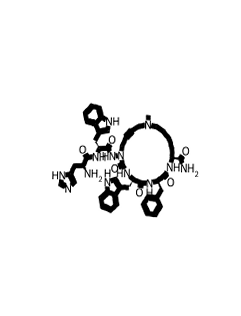 CN1CC#CCN(NC(=O)[C@@H](Cc2c[nH]c3ccccc23)NC(=O)[C@@H](N)Cc2cnc[nH]2)C(=O)N[C@@H](Cc2c[nH]c3ccccc23)C(=O)N[C@H](Cc2ccccc2)C(=O)N[C@H](C(N)=O)CCCC1